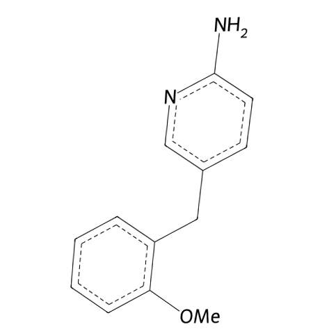 COc1ccccc1Cc1ccc(N)nc1